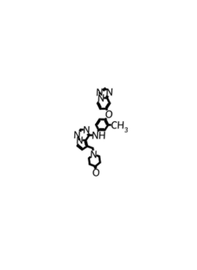 Cc1cc(Nc2ncnn3ccc(CN4CCC(=O)CC4)c23)ccc1Oc1ccn2ncnc2c1